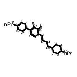 CCCC1=CCC(c2ccc(/C=C/CCC3CCC(CCC)CC3)c(F)c2F)CC1